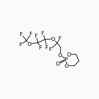 O=P1(OCC(F)(F)OC(F)(F)C(F)(F)OC(F)(F)F)OCCCO1